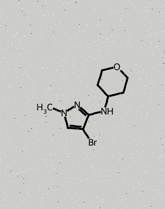 Cn1cc(Br)c(NC2CCOCC2)n1